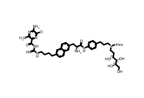 CCCCCCN(CCCc1ccc(NC(=O)[C@@H](N)Cc2ccc3cc(CCCCNC(=N)NC(=O)c4nc(Cl)c(N)nc4N)ccc3c2)cc1)CC[C@@H](O)[C@H](O)[C@H](O)CO